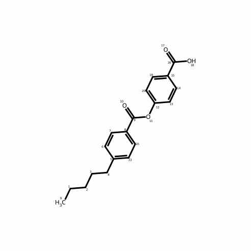 CCCCCc1ccc(C(=O)Oc2ccc(C(=O)O)cc2)cc1